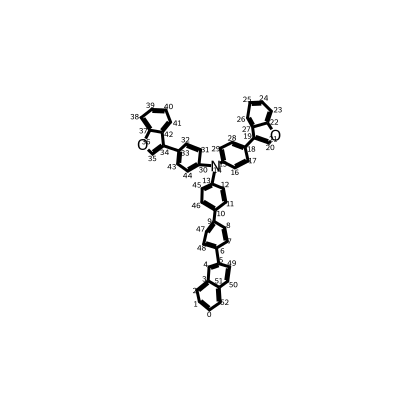 c1ccc2cc(-c3ccc(-c4ccc(N(c5ccc(-c6coc7ccccc67)cc5)c5ccc(-c6coc7ccccc67)cc5)cc4)cc3)ccc2c1